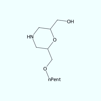 CCCCCOCC1CNCC(CO)O1